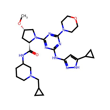 CO[C@H]1C[C@@H](C(=O)NC2CCCN(CC3CC3)C2)N(c2nc(Nc3cc(C4CC4)[nH]n3)nc(N3CCOCC3)n2)C1